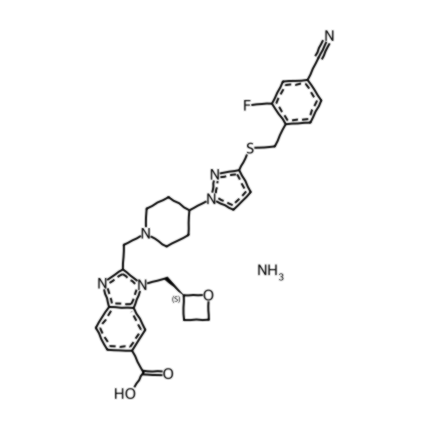 N.N#Cc1ccc(CSc2ccn(C3CCN(Cc4nc5ccc(C(=O)O)cc5n4C[C@@H]4CCO4)CC3)n2)c(F)c1